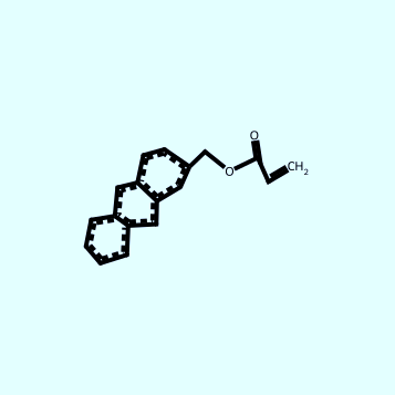 C=CC(=O)OCc1ccc2cc3ccccc3cc2c1